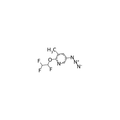 Cc1cc(N=[N+]=[N-])cnc1OC(F)C(F)F